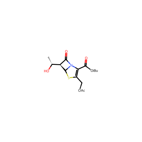 CC(=O)OCC1=C(C(=O)OCC(C)C)N2C(=O)[C@H]([C@@H](C)O)C2S1